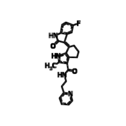 Cc1[nH]c2c(c1C(=O)NCCc1ccccn1)CCC/C2=C1/C(=O)Nc2ccc(F)cc21